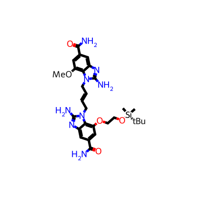 COc1cc(C(N)=O)cc2nc(N)n(C/C=C/Cn3c(N)nc4cc(C(N)=O)cc(OCCO[Si](C)(C)C(C)(C)C)c43)c12